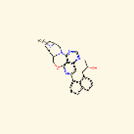 CC(O)Cc1cccc2cccc(-c3cc4ncnc5c4c(n3)OCC3C4CCC(CN53)N4C(=O)O)c12